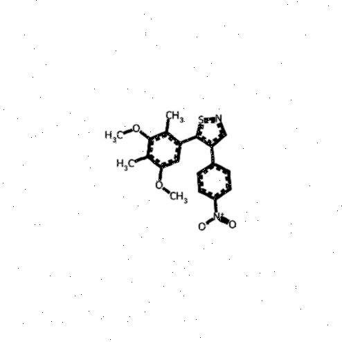 COc1cc(-c2sncc2-c2ccc([N+](=O)[O-])cc2)c(C)c(OC)c1C